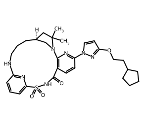 CC1(C)C[C@@H]2CCCNc3cccc(n3)S(=O)(=O)NC(=O)c3ccc(-n4ccc(OCCC5CCCC5)n4)nc3N1C2